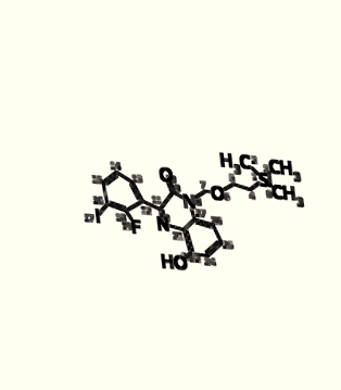 C[Si](C)(C)CCOCn1c(=O)c(-c2cccc(I)c2F)nc2c(O)cccc21